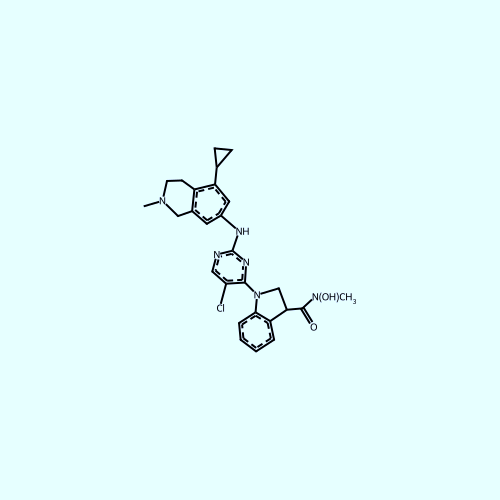 CN1CCc2c(cc(Nc3ncc(Cl)c(N4CC(C(=O)N(C)O)c5ccccc54)n3)cc2C2CC2)C1